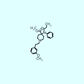 CCC(=O)N(c1ccccc1)C1(C(=O)OC)CCN(CCc2cccc(OC)c2)CC1